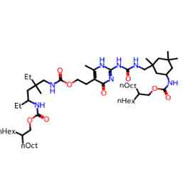 CCCCCCCCC(CCCCCC)COC(=O)NC(CC)CC(C)(CC)CNC(=O)OCCc1c(C)[nH]c(NC(=O)NCC2(C)CC(NC(=O)OCC(CCCCCC)CCCCCCCC)CC(C)(C)C2)nc1=O